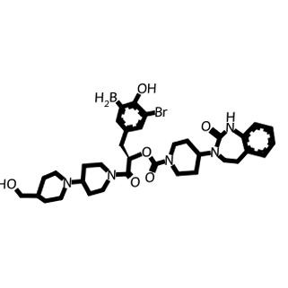 Bc1cc(C[C@@H](OC(=O)N2CCC(N3CCc4ccccc4NC3=O)CC2)C(=O)N2CCC(N3CCC(CO)CC3)CC2)cc(Br)c1O